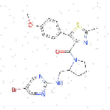 COc1ccc(-c2sc(C)nc2C(=O)N2CCCC2CNc2ncc(Br)cn2)cc1